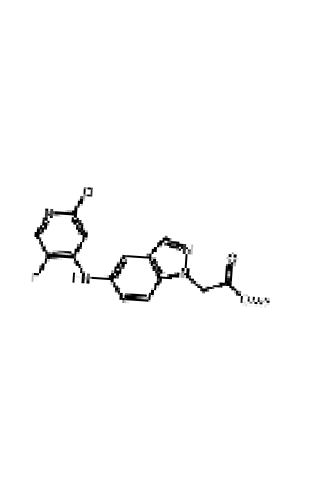 COC(=O)Cn1ncc2cc(Nc3cc(Cl)ncc3F)ccc21